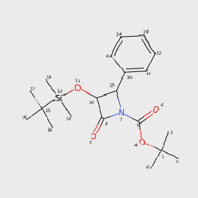 CC(C)(C)OC(=O)N1C(=O)C(O[Si](C)(C)C(C)(C)C)C1c1ccccc1